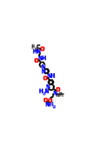 CCCN(CCCOC(N)=O)C(=O)C1=Cc2ccc(C(=O)Nc3ccc(N4CCC(C(=O)NCCNC(=O)C(F)(F)F)CC4)nc3)cc2N=C(N)C1